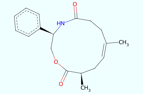 C/C1=C/C[C@@H](C)C(=O)OC[C@@H](c2ccccc2)NC(=O)CC1